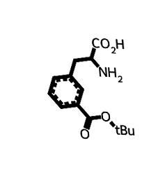 CC(C)(C)OC(=O)c1cccc(CC(N)C(=O)O)c1